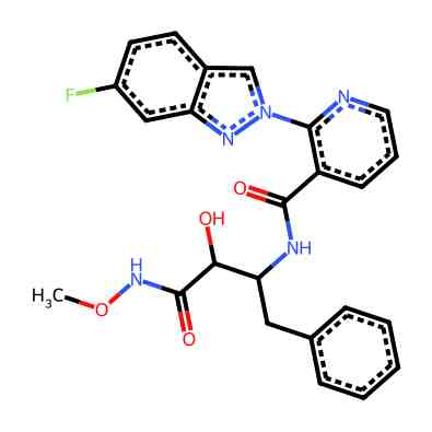 CONC(=O)C(O)C(Cc1ccccc1)NC(=O)c1cccnc1-n1cc2ccc(F)cc2n1